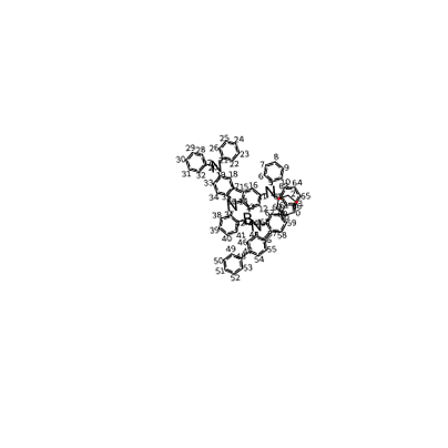 C1=CCC(N(c2ccccc2)c2cc3c4c(c2)c2cc(N(c5ccccc5)c5ccccc5)ccc2n4-c2ccccc2B3n2c3cc(-c4ccccc4)ccc3c3ccc(-c4ccccc4)cc32)C=C1